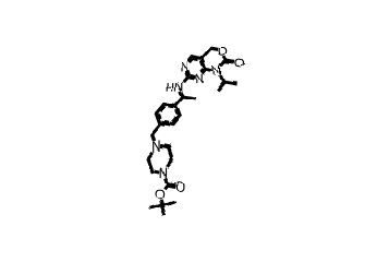 CC(Nc1ncc2c(n1)N(C(C)C)C(=O)OC2)c1ccc(CN2CCN(C(=O)OC(C)(C)C)CC2)cc1